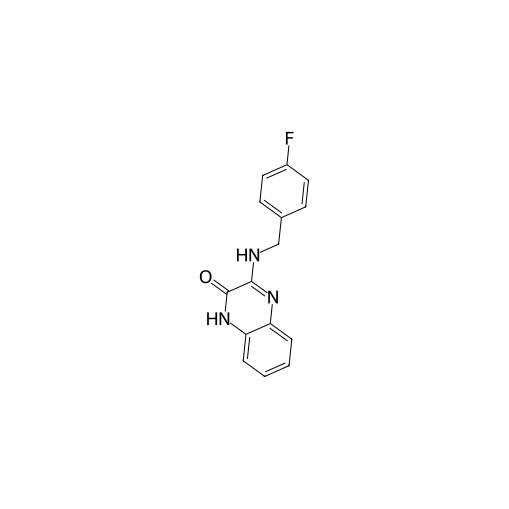 O=c1[nH]c2ccccc2nc1NCc1ccc(F)cc1